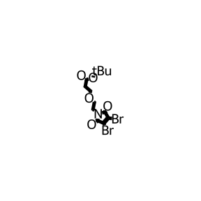 CC(C)(C)OC(=O)CCOCCN1C(=O)C(Br)=C(Br)C1=O